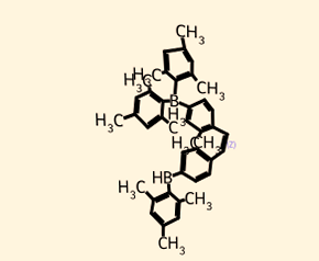 Cc1cc(C)c(Bc2ccc(/C=C\c3ccc(B(c4c(C)cc(C)cc4C)c4c(C)cc(C)cc4C)cc3C)c(C)c2)c(C)c1